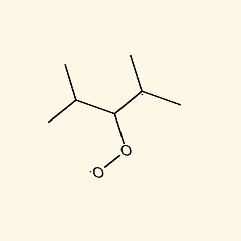 C[C](C)C(O[O])C(C)C